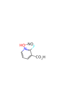 O=C(O)c1cccnc1F.O=NO